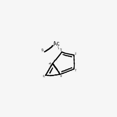 CC(C)=O.c1cc2cc-2c1